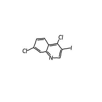 Clc1ccc2c(Cl)c(I)cnc2c1